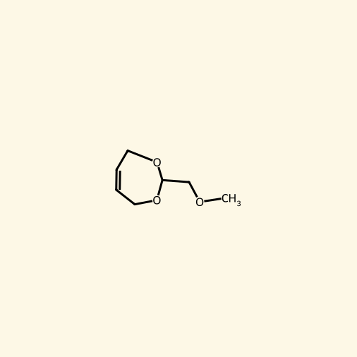 COCC1OCC=CCO1